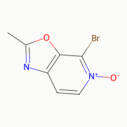 Cc1nc2cc[n+]([O-])c(Br)c2o1